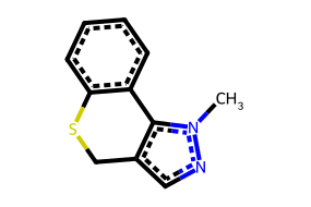 Cn1ncc2c1-c1ccccc1SC2